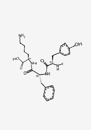 NCCCC[C@@H](NC(=O)[C@@H](Cc1ccccc1)NC(=O)[C@@H](Cc1ccc(O)cc1)NI)C(=O)O